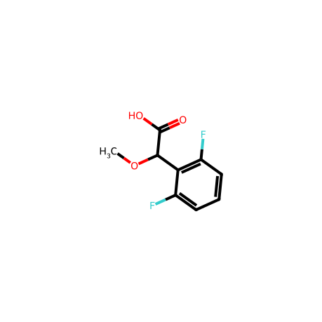 COC(C(=O)O)c1c(F)cccc1F